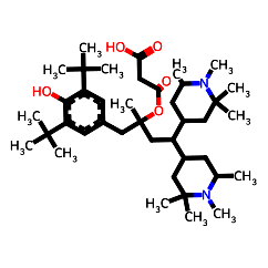 CC1CC(C(CC(C)(Cc2cc(C(C)(C)C)c(O)c(C(C)(C)C)c2)OC(=O)CC(=O)O)C2CC(C)N(C)C(C)(C)C2)CC(C)(C)N1C